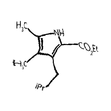 CCOC(=O)c1[nH]c(C)c(C)c1CC(C)C